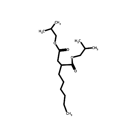 CCCCCCC(CC(=O)OCC(C)C)C(=O)OCC(C)C